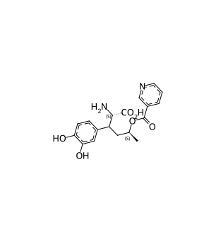 C[C@@H](CC(c1ccc(O)c(O)c1)[C@H](N)C(=O)O)OC(=O)c1cccnc1